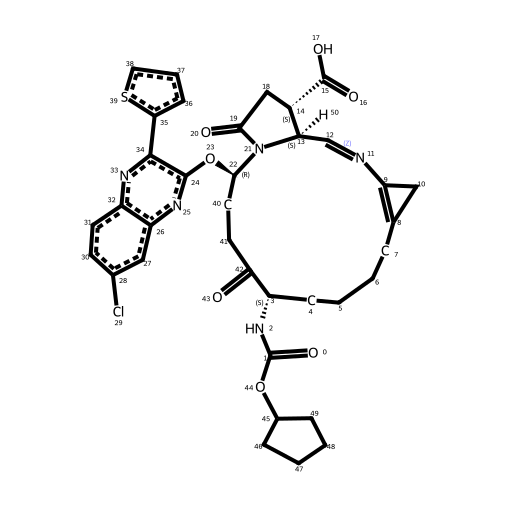 O=C(N[C@H]1CCCCC2=C(C2)/N=C\[C@@H]2[C@@H](C(=O)O)CC(=O)N2[C@H](Oc2nc3cc(Cl)ccc3nc2-c2cccs2)CCC1=O)OC1CCCC1